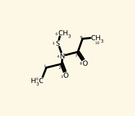 CCC(=O)N(SC)C(=O)CC